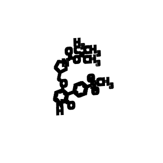 CC(C)(C)OC(=O)N1CCC(COc2cc[nH]c(=O)c2-c2ccc(S(C)(=O)=O)cc2)C1